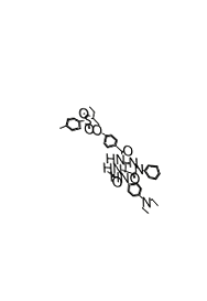 CCC(COc1ccc(C(=O)NC2=NN(c3ccccc3)C(=O)C2(NC(C)=O)Nc2ccc(N(CC)CC)cc2)cc1)S(=O)(=O)c1ccc(C)cc1